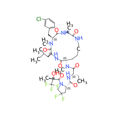 CC[C@H](NC(=O)[C@@H]1CC(F)(F)CN1C(=O)[C@@](C)(O)C(F)(F)F)C(=O)N(C)[C@H]1CCCCNC(=O)[C@@H](C)NC(=O)[C@H](Cc2cccc(Cl)c2)N(C)C(=O)[C@H](CC(C)C)NC1=O